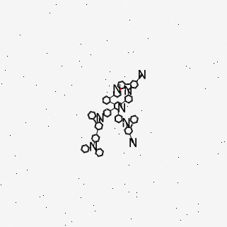 N#Cc1ccc2c(c1)c1ccccc1n2-c1cccc(-c2cc(-c3ccccc3-c3cccnc3)c(-c3ccc(-n4c5ccccc5c5cc(-c6ccc(N(c7ccccc7)c7ccccc7)cc6)ccc54)cc3)c(-c3cccc(-n4c5ccccc5c5cc(C#N)ccc54)c3)n2)c1